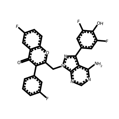 Nc1ncnc2c1c(-c1cc(F)c(O)c(F)c1)nn2Cc1oc2ccc(F)cc2c(=O)c1-c1cccc(F)c1